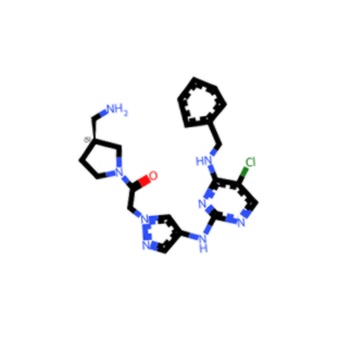 NC[C@@H]1CCN(C(=O)Cn2cc(Nc3ncc(Cl)c(NCc4ccccc4)n3)cn2)C1